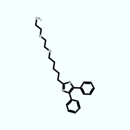 CCCOCCOCCCCCC1=NC(c2ccccc2)=C(c2ccccc2)[N]1